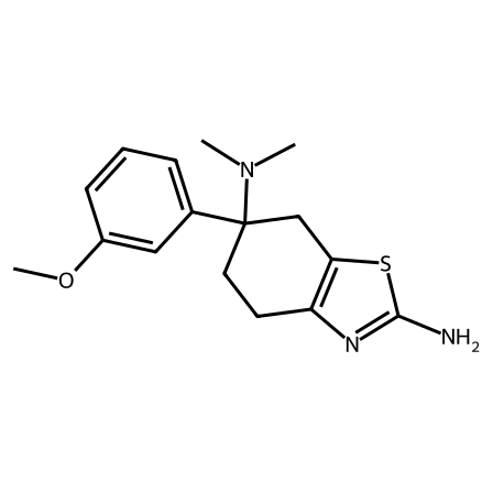 COc1cccc(C2(N(C)C)CCc3nc(N)sc3C2)c1